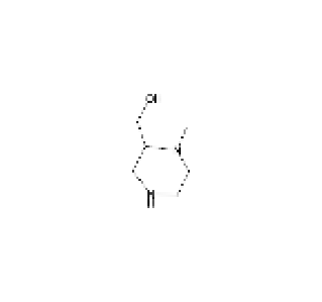 CN1CCNCC1CO